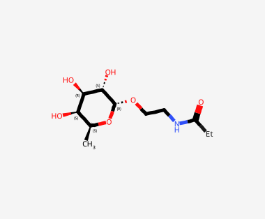 CCC(=O)NCCO[C@@H]1O[C@@H](C)[C@@H](O)[C@@H](O)[C@@H]1O